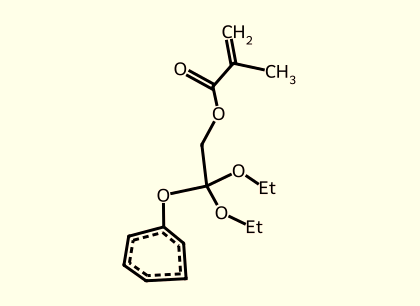 C=C(C)C(=O)OCC(OCC)(OCC)Oc1ccccc1